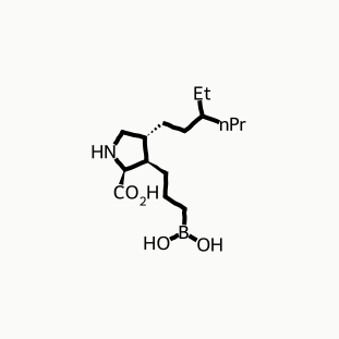 CCCC(CC)CC[C@H]1CN[C@H](C(=O)O)[C@@H]1CCCB(O)O